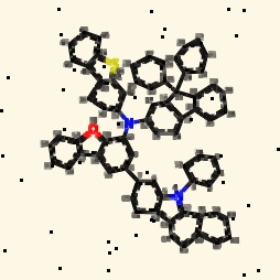 c1ccc(-n2c3cc(-c4cc(N(c5ccc6c(c5)C(c5ccccc5)(c5ccccc5)c5ccccc5-6)c5ccc6c(c5)sc5ccccc56)c5oc6ccccc6c5c4)ccc3c3ccc4ccccc4c32)cc1